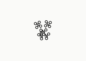 c1ccc(N(c2ccccc2)c2cc3c4c(c2)N(c2cccc(-c5cccc([Si](c6ccccc6)(c6ccccc6)c6ccccc6)c5)c2)c2cc(-c5cccc([Si](c6ccccc6)(c6ccccc6)c6ccccc6)c5)ccc2B4c2ccccc2N3c2ccccc2)cc1